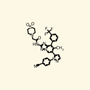 Cc1c(-c2ccnn2-c2ccc(C#N)cc2)cn2nc(NC(=O)CN3CCS(=O)(=O)CC3)nc2c1-c1cccc(C(F)(F)F)c1